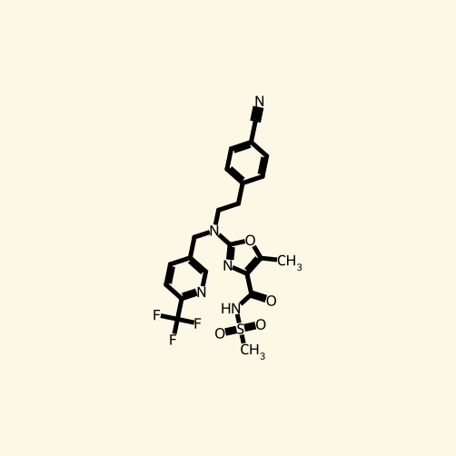 Cc1oc(N(CCc2ccc(C#N)cc2)Cc2ccc(C(F)(F)F)nc2)nc1C(=O)NS(C)(=O)=O